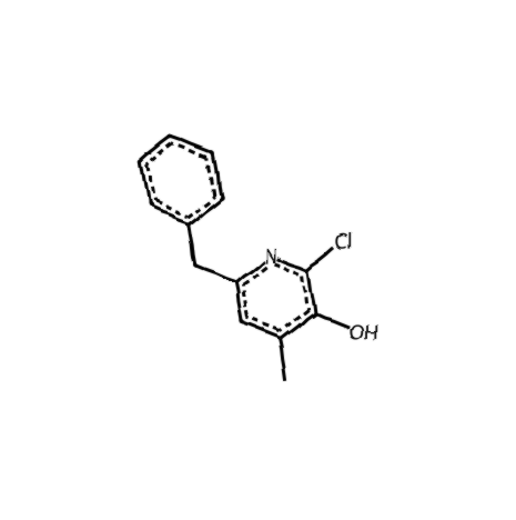 Cc1cc(Cc2ccccc2)nc(Cl)c1O